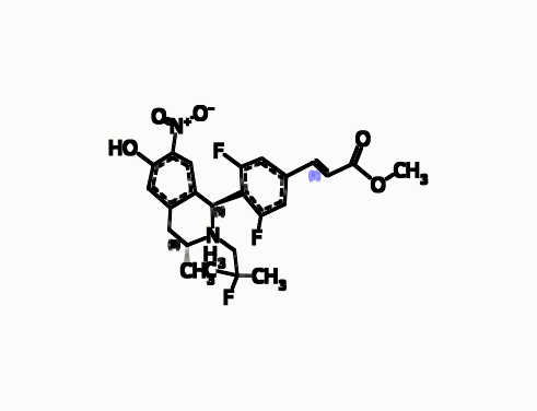 COC(=O)/C=C/c1cc(F)c([C@@H]2c3cc([N+](=O)[O-])c(O)cc3C[C@@H](C)N2CC(C)(C)F)c(F)c1